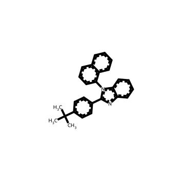 CC(C)(C)c1ccc(-c2nc3ccccc3n2-c2cccc3ccccc23)cc1